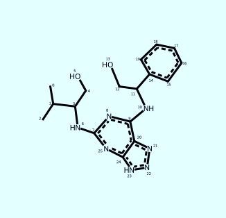 CC(C)C(CO)Nc1nc(NC(CO)c2ccccc2)c2nn[nH]c2n1